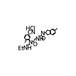 CCNCCN(C(=O)CNCC(=O)N(C)C1Cc2ccc(C)cc2C1)c1cc(C#N)ccc1C.Cl